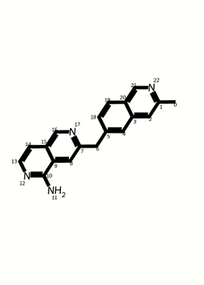 Cc1cc2cc(Cc3cc4c(N)nccc4cn3)ccc2cn1